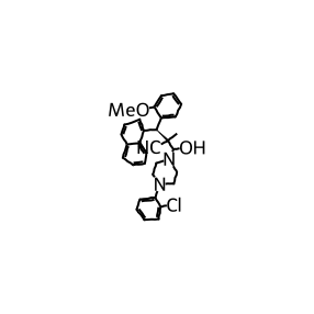 COc1ccccc1[C@H](c1cccc2ccccc12)C(C)(C#N)C(O)N1CCN(c2ccccc2Cl)CC1